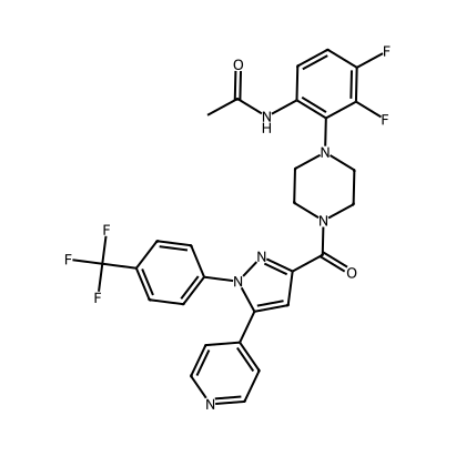 CC(=O)Nc1ccc(F)c(F)c1N1CCN(C(=O)c2cc(-c3ccncc3)n(-c3ccc(C(F)(F)F)cc3)n2)CC1